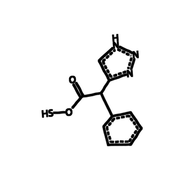 O=C(OS)C(c1ccccc1)c1c[nH]nn1